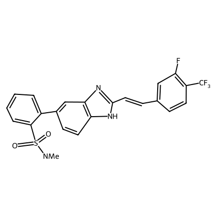 CNS(=O)(=O)c1ccccc1-c1ccc2[nH]c(/C=C/c3ccc(C(F)(F)F)c(F)c3)nc2c1